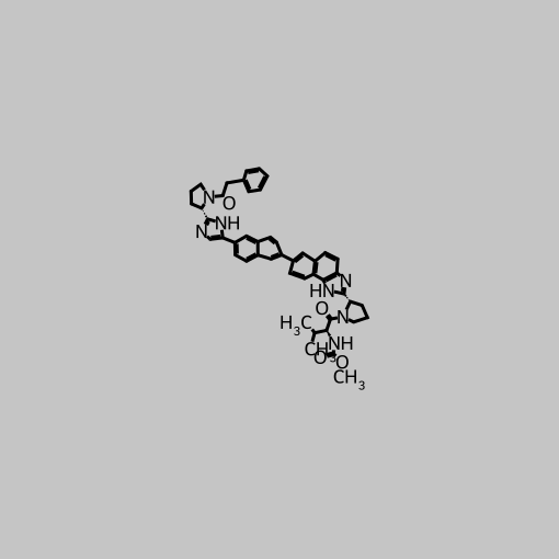 COC(=O)N[C@H](C(=O)N1CCC[C@H]1c1nc2ccc3cc(-c4ccc5cc(-c6cnc([C@@H]7CCCN7C(=O)Cc7ccccc7)[nH]6)ccc5c4)ccc3c2[nH]1)C(C)C